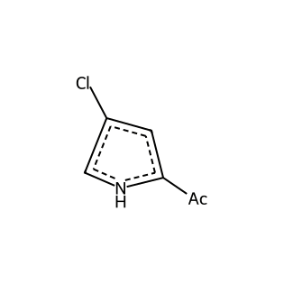 CC(=O)c1cc(Cl)c[nH]1